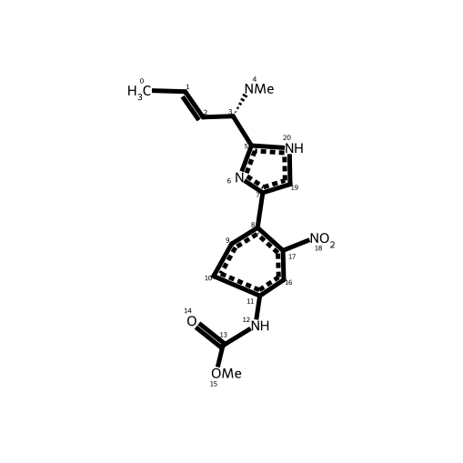 C/C=C/[C@H](NC)c1nc(-c2ccc(NC(=O)OC)cc2[N+](=O)[O-])c[nH]1